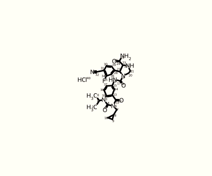 CC(C)n1c(=O)n(CC2CC2)c(=O)c2cc(NC(=O)N3CCNC(C(N)=O)C3c3ccc(C#N)c(F)c3)ccc21.Cl